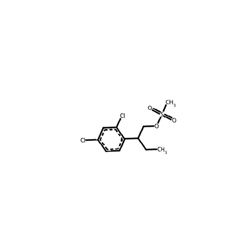 CCC(COS(C)(=O)=O)c1ccc(Cl)cc1Cl